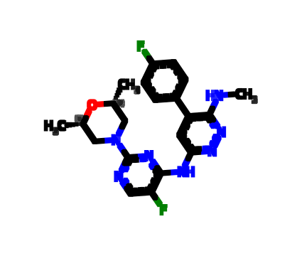 CNc1nnc(Nc2nc(N3C[C@@H](C)O[C@@H](C)C3)ncc2F)cc1-c1ccc(F)cc1